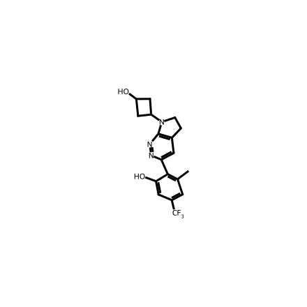 Cc1cc(C(F)(F)F)cc(O)c1-c1cc2c(nn1)N(C1CC(O)C1)CC2